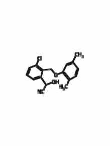 Cc1ccc(C)c(OCc2c(Cl)cccc2C(O)C#N)c1